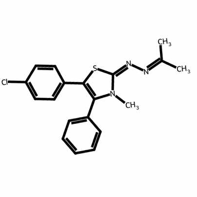 CC(C)=NN=c1sc(-c2ccc(Cl)cc2)c(-c2ccccc2)n1C